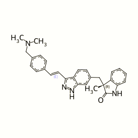 CN(C)Cc1ccc(/C=C/c2n[nH]c3cc(C[C@@]4(C)C(=O)Nc5ccccc54)ccc23)cc1